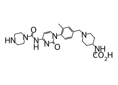 Cc1cc(CN2CCC(NC(=O)O)CC2)ccc1-n1ccc(NC(=O)N2CCNCC2)nc1=O